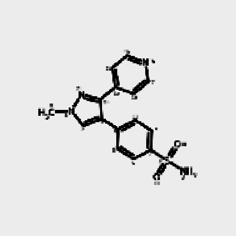 Cn1cc(-c2ccc(S(N)(=O)=O)cc2)c(-c2ccncc2)n1